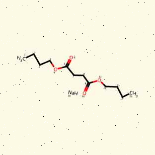 CCCCOC(=O)CCC(=O)OCCCC.[NaH]